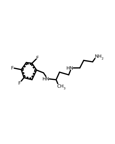 CC(CCNCCCN)NCc1cc(F)c(F)cc1F